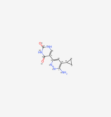 Nc1nnc(-c2c[nH]c(=O)[nH]c2=O)cc1C1CC1